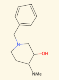 CNC1CCN(Cc2ccccc2)CC1O